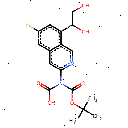 CC(C)(C)OC(=O)N(C(=O)O)c1cc2cc(F)cc(C(O)CO)c2cn1